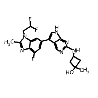 Cc1nc2c(F)cc(-c3c[nH]c4nc(NC5CC(C)(O)C5)ncc34)cc2n1CC(F)F